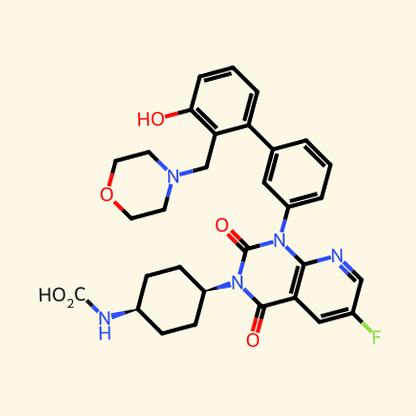 O=C(O)N[C@H]1CC[C@@H](n2c(=O)c3cc(F)cnc3n(-c3cccc(-c4cccc(O)c4CN4CCOCC4)c3)c2=O)CC1